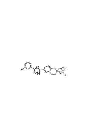 NC1(CO)CCc2cc(-c3nnc(-c4cccc(F)c4)o3)ccc2C1